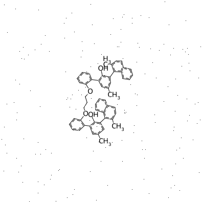 Cc1cc(-c2ccccc2OCCCOc2ccccc2-c2cc(C)cc(-c3c(C)ccc4ccccc34)c2O)c(O)c(-c2c(C)ccc3ccccc23)c1